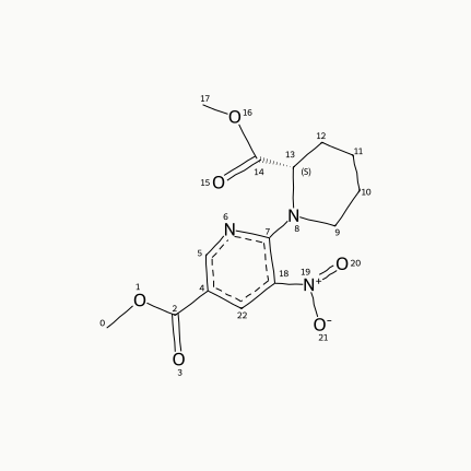 COC(=O)c1cnc(N2CCCC[C@H]2C(=O)OC)c([N+](=O)[O-])c1